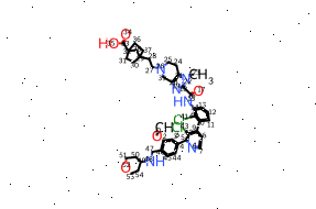 COc1cc(-c2nccc(-c3cccc(NC(=O)c4nc5c(n4C)CCN(CCC46CCC(C(=O)O)(CC4)C6)C5)c3Cl)c2Cl)ccc1CNC1CCOCC1